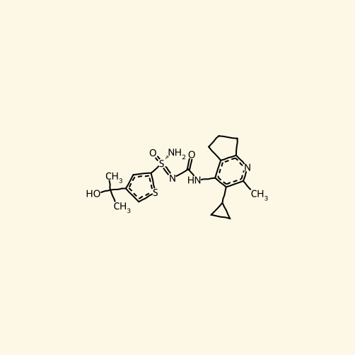 Cc1nc2c(c(NC(=O)N=[S@](N)(=O)c3cc(C(C)(C)O)cs3)c1C1CC1)CCC2